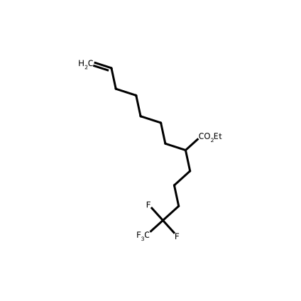 C=CCCCCCC(CCCC(F)(F)C(F)(F)F)C(=O)OCC